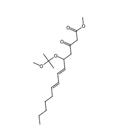 CCCCCC=CC=CC(CC(=O)CC(=O)OC)OC(C)(C)OC